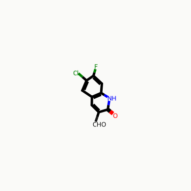 O=Cc1cc2cc(Cl)c(F)cc2[nH]c1=O